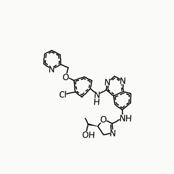 CC(O)[C@@H]1CN=C(Nc2ccc3ncnc(Nc4ccc(OCc5ccccn5)c(Cl)c4)c3c2)O1